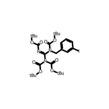 CC(C)(C)OC(=O)/N=C(\N(Cc1cccc(I)c1)C(=O)OC(C)(C)C)N(C(=O)OC(C)(C)C)C(=O)OC(C)(C)C